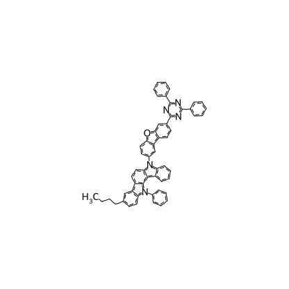 CCCCc1ccc2c(c1)c1ccc3c(c4ccccc4n3-c3ccc4oc5cc(-c6nc(-c7ccccc7)nc(-c7ccccc7)n6)ccc5c4c3)c1n2-c1ccccc1